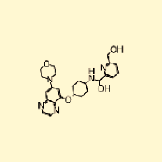 OCc1cccc(C(O)N[C@H]2CC[C@@H](Oc3cc(N4CCOCC4)cc4nccnc34)CC2)n1